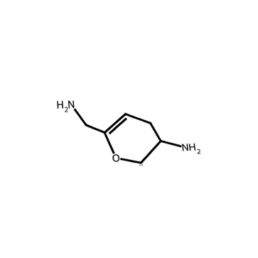 NCC1=CCC(N)[C]O1